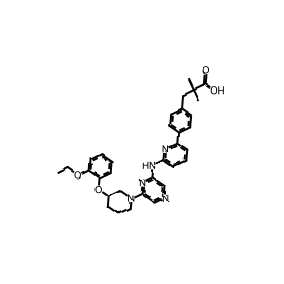 CCOc1ccccc1OC1CCCN(c2cncc(Nc3cccc(-c4ccc(CC(C)(C)C(=O)O)cc4)n3)n2)C1